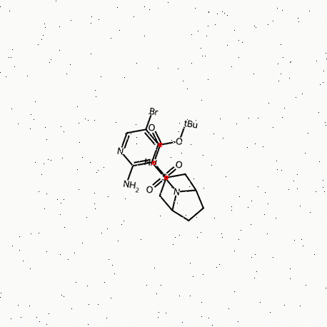 CC(C)(C)OC(=O)NC1CC2CCC(C1)N2S(=O)(=O)c1cc(Br)cnc1N